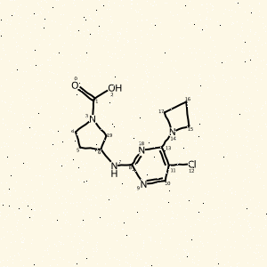 O=C(O)N1CCC(Nc2ncc(Cl)c(N3CCC3)n2)C1